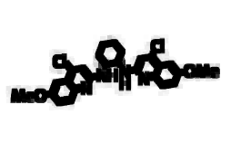 COc1ccc2nc(N[C@@H]3CCCC[C@H]3Nc3cc(Cl)c4cc(OC)ccc4n3)cc(Cl)c2c1